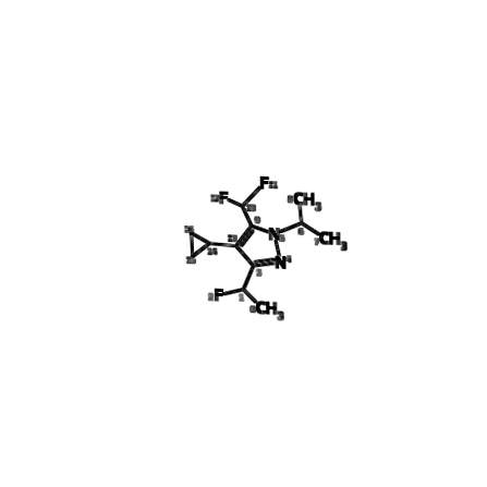 CC(F)c1nn(C(C)C)c(C(F)F)c1C1CC1